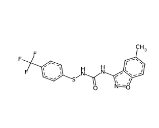 Cc1ccc2onc(NC(=O)NSc3ccc(C(F)(F)F)cc3)c2c1